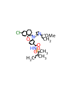 C=CC[C@H](C)[C@@H](C)S(=O)(=O)NC(=O)c1ccc2c(c1)N(C[C@@H]1CCN1[C@@H](C=C)COC)C[C@@]1(CCCc3cc(Cl)ccc31)CO2